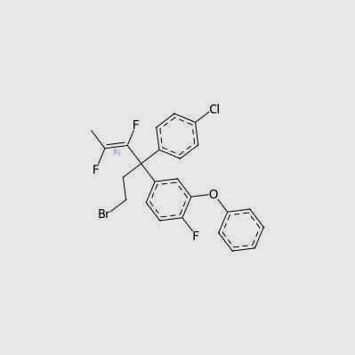 C/C(F)=C(\F)C(CCBr)(c1ccc(Cl)cc1)c1ccc(F)c(Oc2ccccc2)c1